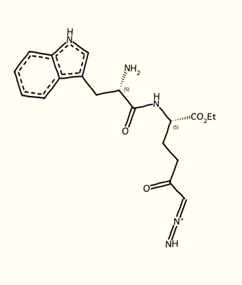 CCOC(=O)[C@H](CCC(=O)C=[N+]=N)NC(=O)[C@@H](N)Cc1c[nH]c2ccccc12